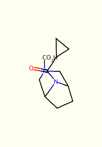 O=C(O)N1CC2CCC(C1)N2C(=O)C1CC1